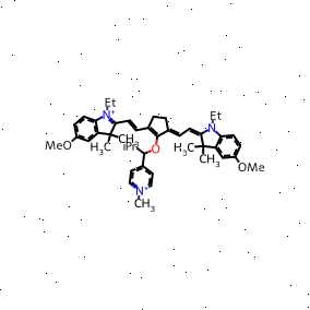 CCN1/C(=C/C=C2\CCC(/C=C/C3=[N+](CC)c4ccc(OC)cc4C3(C)C)=C2OC(c2cc[n+](C)cc2)C(C)C)C(C)(C)c2cc(OC)ccc21